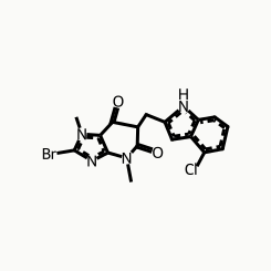 CN1C(=O)C(Cc2cc3c(Cl)cccc3[nH]2)C(=O)c2c1nc(Br)n2C